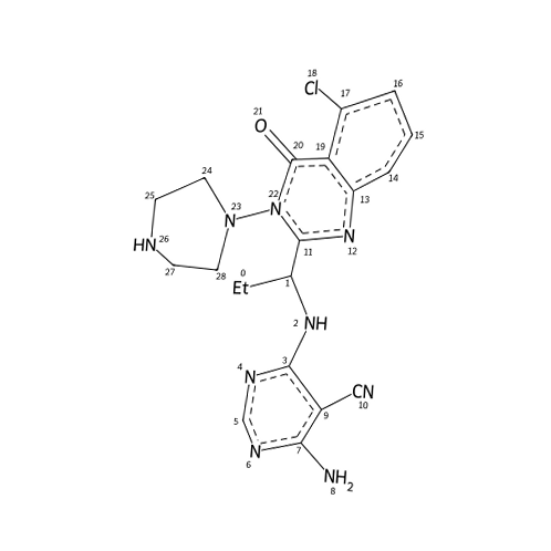 CCC(Nc1ncnc(N)c1C#N)c1nc2cccc(Cl)c2c(=O)n1N1CCNCC1